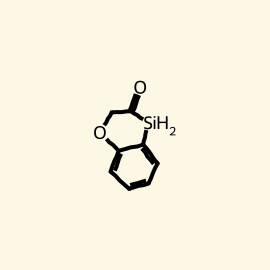 O=C1COc2ccccc2[SiH2]1